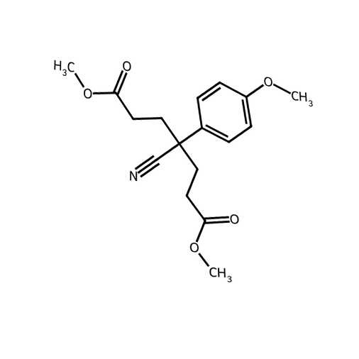 COC(=O)CCC(C#N)(CCC(=O)OC)c1ccc(OC)cc1